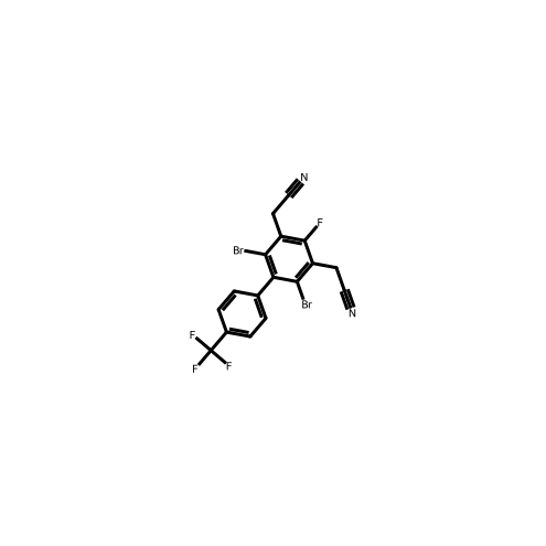 N#CCc1c(F)c(CC#N)c(Br)c(-c2ccc(C(F)(F)F)cc2)c1Br